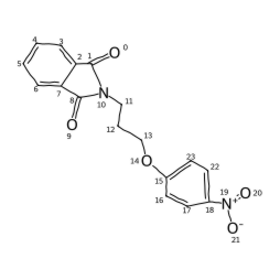 O=C1c2ccccc2C(=O)N1CCCOc1ccc([N+](=O)[O-])cc1